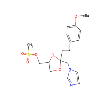 CCCCOc1ccc(CCC2(Cn3ccnc3)OCC(COS(C)(=O)=O)O2)cc1